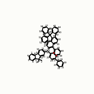 CC1(C)c2ccccc2-c2ccc(N(c3ccc(-c4ccccc4)cc3)c3ccc4c5c(ccc4c3-c3ccccc3)-c3ccccc3C5(c3ccccc3)c3ccccc3)cc21